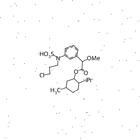 COC(C(=O)OC1CC(C)CCC1C(C)C)c1cccc(N(CCCCl)S(=O)(=O)O)c1